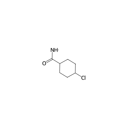 [NH]C(=O)C1CCC(Cl)CC1